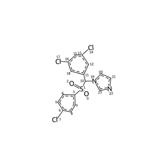 O=S(=O)(c1ccc(Cl)cc1)C(c1cc(Cl)cc(Cl)c1)n1ccnc1